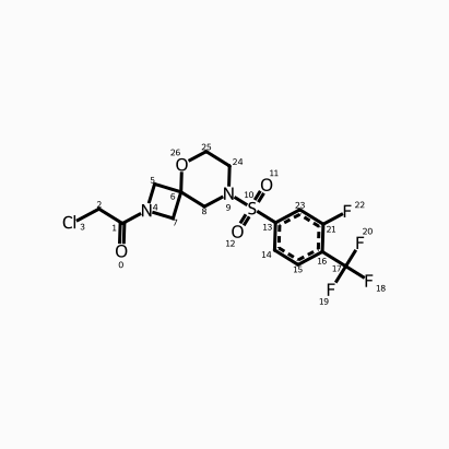 O=C(CCl)N1CC2(C1)CN(S(=O)(=O)c1ccc(C(F)(F)F)c(F)c1)CCO2